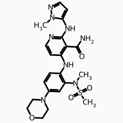 CN(c1cc(N2CCOCC2)ccc1Nc1ccnc(Nc2ccnn2C)c1C(N)=O)S(C)(=O)=O